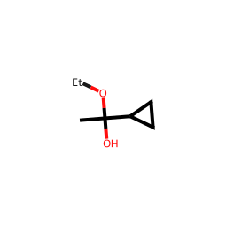 CCOC(C)(O)C1CC1